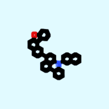 c1ccc(-c2ccccc2N(c2ccc(-c3ccc4ccc5oc6ccccc6c5c4c3)cc2)c2ccc3ccccc3c2)cc1